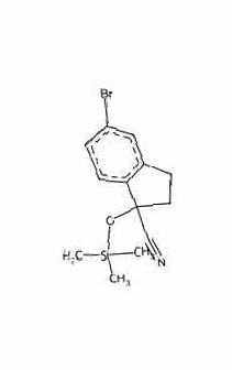 C[Si](C)(C)OC1(C#N)CCc2cc(Br)ccc21